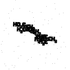 C\C(C=C=C1[C@H](C)C[C@H](C(=O)O)C[C@@H]1C)=C/C=C/C(C)=C/C=C/C=C(C)/C=C/C=C(\C)C(=O)C[C@H]1C(C)C[C@@H](C)C[C@H]1C